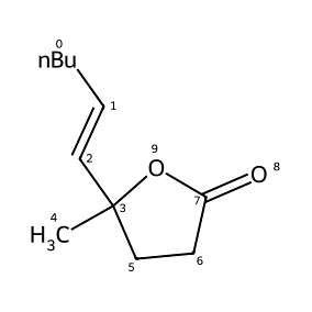 CCCCC=CC1(C)CCC(=O)O1